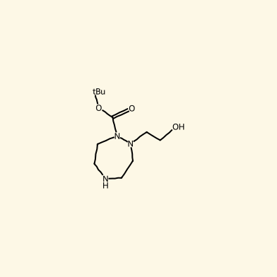 CC(C)(C)OC(=O)N1CCNCCN1CCO